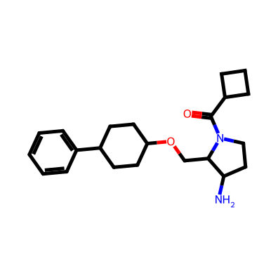 NC1CCN(C(=O)C2CCC2)C1COC1CCC(c2ccccc2)CC1